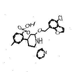 Cc1ccc(S(=O)(=O)O)c(C2CCNC(OCc3ccc(Cl)c4ccoc34)C2)c1.c1ccncc1